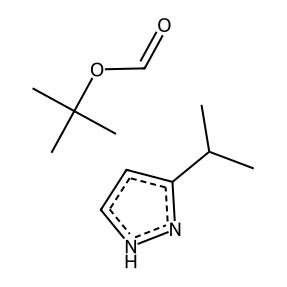 CC(C)(C)OC=O.CC(C)c1cc[nH]n1